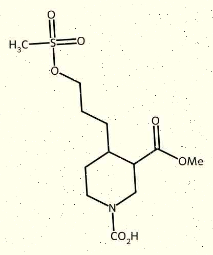 COC(=O)C1CN(C(=O)O)CCC1CCCOS(C)(=O)=O